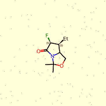 CC[C@H]1C2COC(C)(C)N2C(=O)[C@H]1F